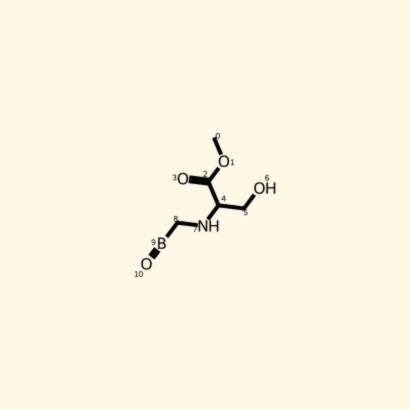 COC(=O)C(CO)NCB=O